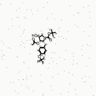 CC(=O)O[C@H]1[C@@H](Cc2ccc(OC(F)(F)F)cc2)N(C(=O)OC(C)(C)C)C[C@@H]1O